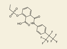 CCS(=O)(=O)Oc1cccc(C(=O)Nc2ccc(C(F)(C(F)(F)F)C(F)(F)F)cc2)c1C(=O)O